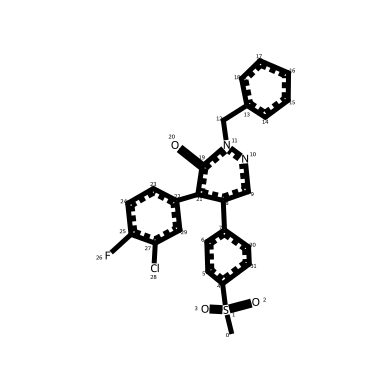 CS(=O)(=O)c1ccc(-c2cnn(Cc3ccccc3)c(=O)c2-c2ccc(F)c(Cl)c2)cc1